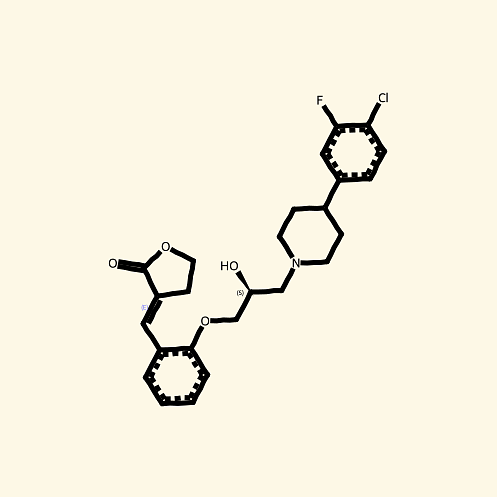 O=C1OCC/C1=C\c1ccccc1OC[C@@H](O)CN1CCC(c2ccc(Cl)c(F)c2)CC1